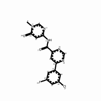 Cn1cnc(NC(=O)c2cc(-c3cc(F)cc(Cl)c3)ncn2)cc1=O